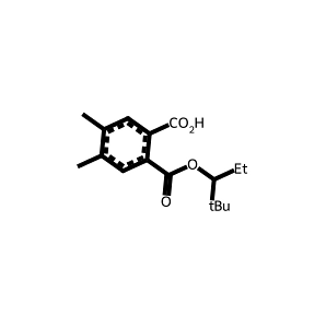 CCC(OC(=O)c1cc(C)c(C)cc1C(=O)O)C(C)(C)C